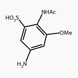 COc1cc(N)cc(S(=O)(=O)O)c1NC(C)=O